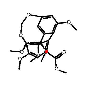 COC(=O)C1=C2c3c(OC)cc(cc3C(=O)OC)OCOC(OC)(C(OC)=C1)C2OC